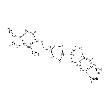 COc1cc(CC(=O)N2CCN(CCc3ccc4c(c3C)COC4=O)CC2)c(F)cc1C